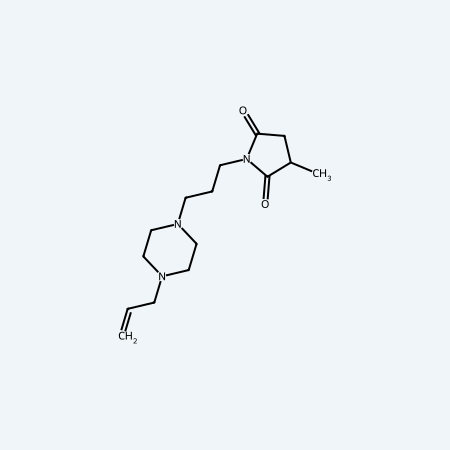 C=CCN1CCN(CCCN2C(=O)CC(C)C2=O)CC1